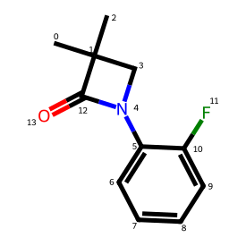 CC1(C)CN(c2ccccc2F)C1=O